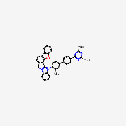 CC(C)(C)c1nc(-c2ccc(-c3ccc(-n4c5[n+](c6ccccc64)Cc4ccc6c(oc7ccccc76)c4-5)c(C(C)(C)C)c3)cc2)nc(C(C)(C)C)n1